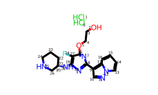 Cl.Cl.OCCOc1nc(-c2cnn3ccccc23)nc(N[C@@H]2CCCNC2)c1F